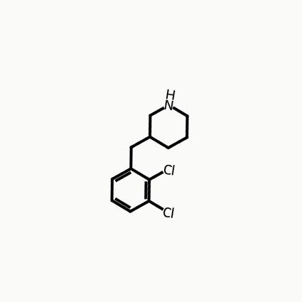 Clc1cccc(CC2CCCNC2)c1Cl